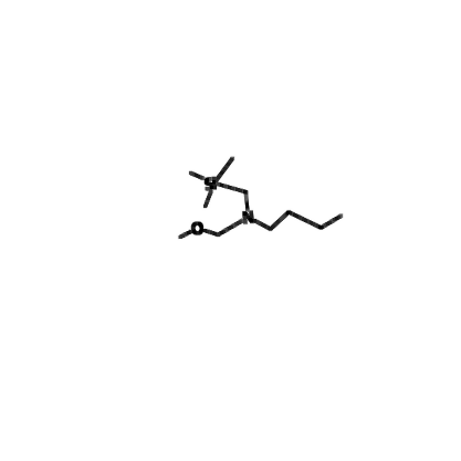 CCCCN(COC)C[Si](C)(C)C